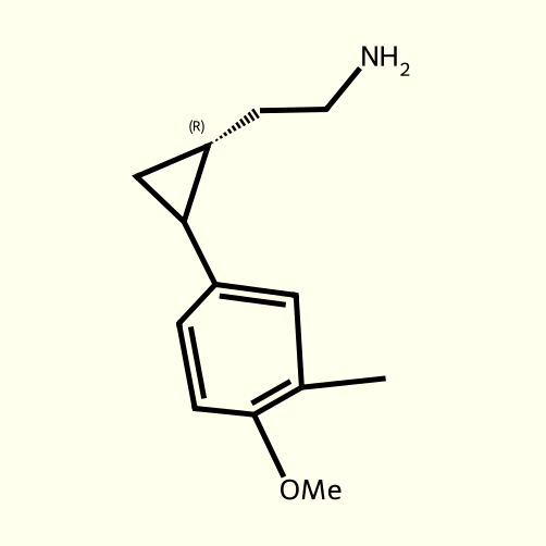 COc1ccc(C2C[C@@H]2CCN)cc1C